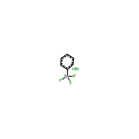 Br.[F][Zn]([F])([F])[c]1ccccc1